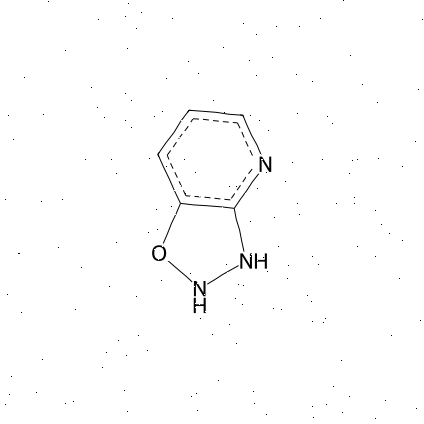 c1cnc2c(c1)ONN2